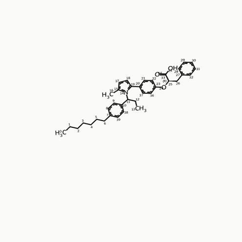 CCCCCCCc1ccc(C(CC)n2c(C)ccc2-c2ccc(O[C@H](Cc3ccccc3)C(=O)O)cc2)cc1